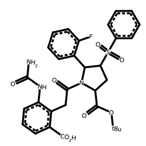 CC(C)(C)OC(=O)C1CC(S(=O)(=O)c2ccccc2)C(c2ccccc2F)N1C(=O)Cc1c(NC(N)=O)cccc1C(=O)O